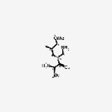 CCC(C)C(N)C(=O)N(CN)CC(C)COC